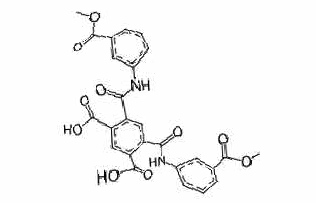 COC(=O)c1cccc(NC(=O)c2cc(C(=O)Nc3cccc(C(=O)OC)c3)c(C(=O)O)cc2C(=O)O)c1